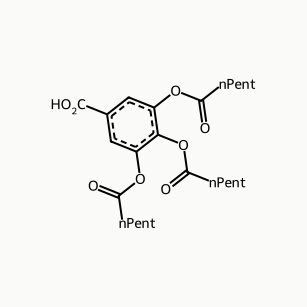 CCCCCC(=O)Oc1cc(C(=O)O)cc(OC(=O)CCCCC)c1OC(=O)CCCCC